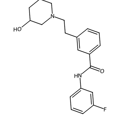 O=C(Nc1cccc(F)c1)c1cccc(CCN2CCCC(O)C2)c1